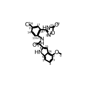 COc1cccc2[nH]c(C(=O)Nc3ccc(Cl)cc3-c3noc(=O)[nH]3)cc12